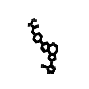 CC(C)n1ncnc1N1CC2=C(CCOc3cc(C4CCN(CC(=O)NC(C)(C)C)CC4)ccc32)S1